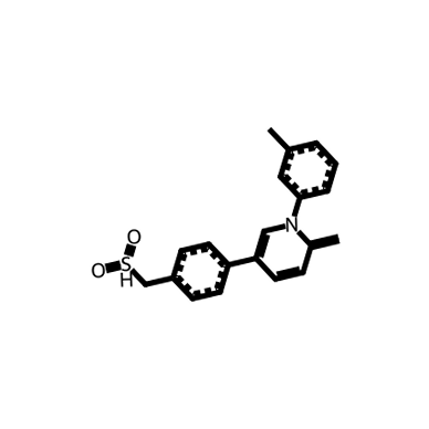 C=C1C=CC(c2ccc(C[SH](=O)=O)cc2)=CN1c1cccc(C)c1